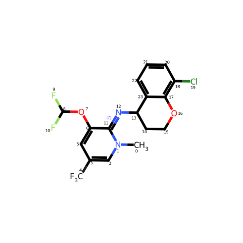 Cn1cc(C(F)(F)F)cc(OC(F)F)/c1=N/C1CCOc2c(Cl)cccc21